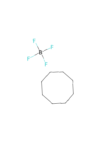 C1CCCCCCC1.F[B-](F)(F)F